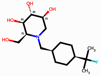 CC(C)(F)[C@H]1CC[C@@H](CN2C[C@H](O)[C@@H](O)[C@H](O)[C@@H]2CO)CC1